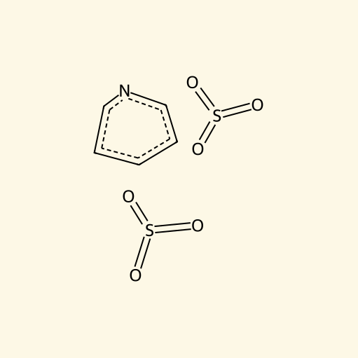 O=S(=O)=O.O=S(=O)=O.c1ccncc1